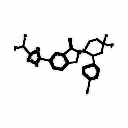 O=C1c2cc(-c3nnc(C(F)F)o3)ccc2CN1N1CCC(F)(F)CC1c1ccc(F)cc1